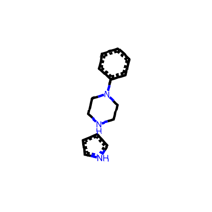 c1cc[nH]c1.c1ccc(N2CCNCC2)cc1